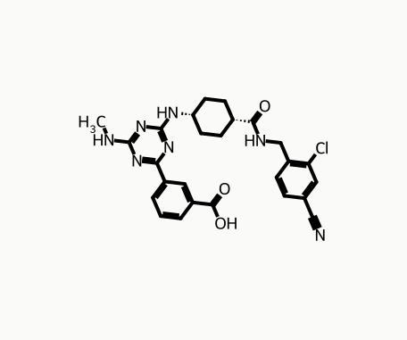 CNc1nc(N[C@H]2CC[C@@H](C(=O)NCc3ccc(C#N)cc3Cl)CC2)nc(-c2cccc(C(=O)O)c2)n1